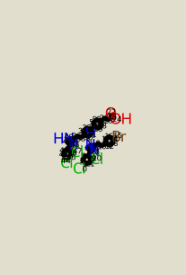 Clc1ccc(-c2c[nH]c(C=Cc3ccc(Br)cc3)n2)c(Cl)c1.O=C(O)C=Cc1ccc(-c2ccc(C=Cc3nc(-c4ccc(Cl)cc4Cl)c[nH]3)cc2)cc1